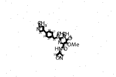 COc1c(C(=O)Nc2cnoc2)nc(N(C)Cc2ccc(-c3cnn(C)c3)cc2)n(C)c1=O